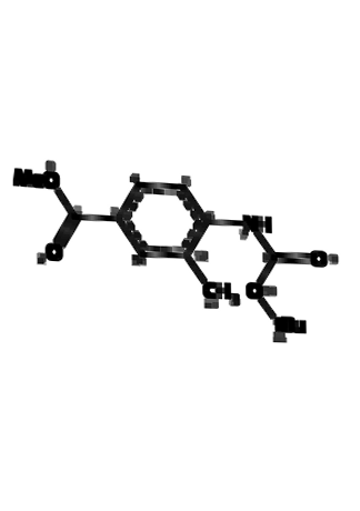 COC(=O)c1ccc(NC(=O)OC(C)(C)C)c(C)c1